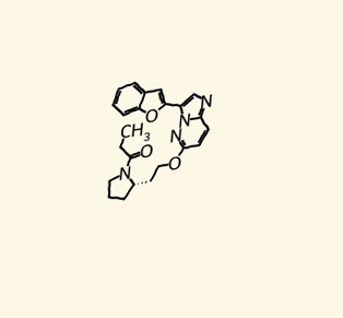 CCC(=O)N1CCC[C@H]1CCOc1ccc2ncc(-c3cc4ccccc4o3)n2n1